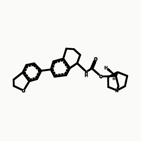 O=C(NC1CCCc2cc(-c3ccc4c(c3)OCC4)ccc21)O[C@H]1CN2CCC1CC2